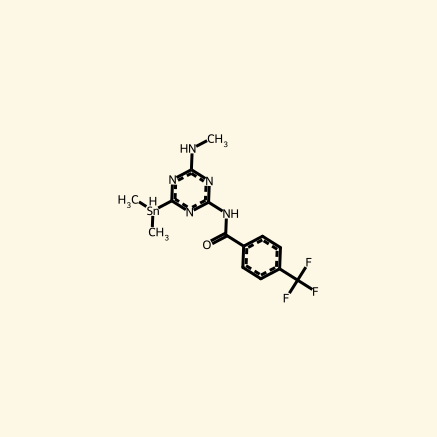 CNc1nc(NC(=O)c2ccc(C(F)(F)F)cc2)n[c]([SnH]([CH3])[CH3])n1